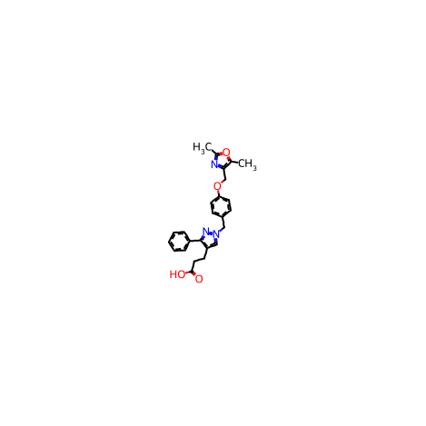 Cc1nc(COc2ccc(Cn3cc(CCC(=O)O)c(-c4ccccc4)n3)cc2)c(C)o1